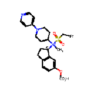 CC(C)CS(=O)(=O)[N+](C)(C1CCN(c2ccncc2)CC1)[C@@H]1CCc2ccc(OC(=O)O)cc21